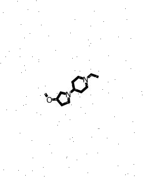 CCN1CCC(N2CCC(OC)C2)CC1